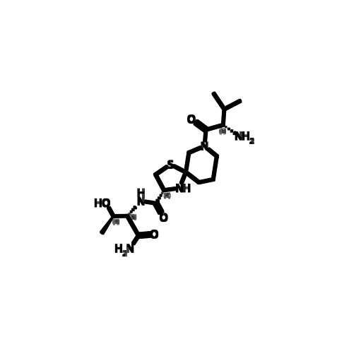 CC(C)[C@H](N)C(=O)N1CCCC2(C1)N[C@H](C(=O)N[C@H](C(N)=O)[C@@H](C)O)CS2